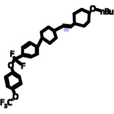 CCCCOC1CCC(/C=C/C2CCC(c3ccc(C(F)(F)Oc4ccc(OC(F)(F)F)cc4)cc3)CC2)CC1